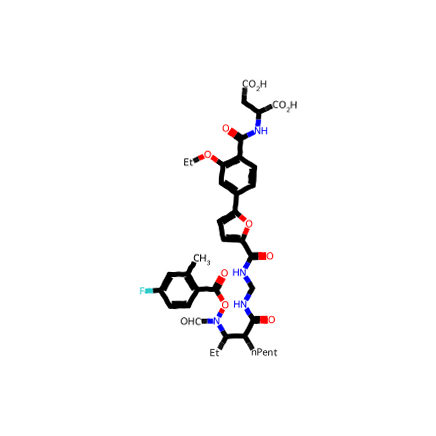 CCCCCC(C(=O)NCNC(=O)c1ccc(-c2ccc(C(=O)NC(CC(=O)O)C(=O)O)c(OCC)c2)o1)C(CC)N(C=O)OC(=O)c1ccc(F)cc1C